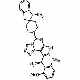 C=C(c1c(OC)cccc1OC)c1n[nH]c2nc(N3CCC4(CC3)Cc3ccccc3[C@H]4N)n3cnnc3c12